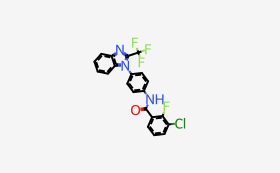 O=C(Nc1ccc(-n2c(C(F)(F)F)nc3ccccc32)cc1)c1cccc(Cl)c1F